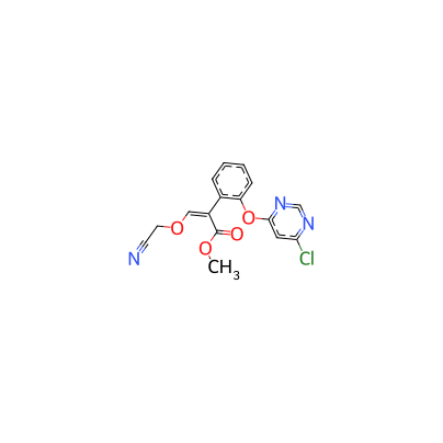 COC(=O)C(=COCC#N)c1ccccc1Oc1cc(Cl)ncn1